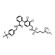 CN(C)CCCS(=O)(=O)NCc1ccc(-c2ccccc2C(=O)NCc2ccc(C(F)(F)F)nc2)c(Cl)c1Cl